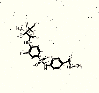 CNC(=O)c1ccc(NS(=O)(=O)c2ccc(NC(=O)[C@@](C)(O)C(F)(F)F)c(Cl)c2)cc1